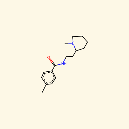 Cc1ccc(C(=O)NCCC2CCCCN2C)cc1